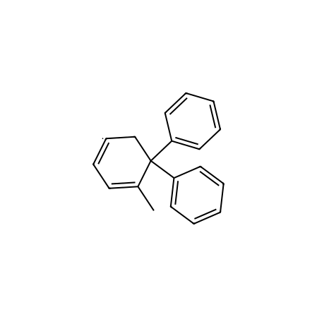 CC1=CC=[C]CC1(c1ccccc1)c1ccccc1